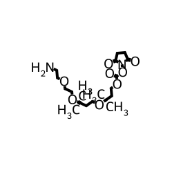 CC(C)(CCOC(=O)ON1C(=O)CCC1=O)OCCC(C)(C)OCCOCCN